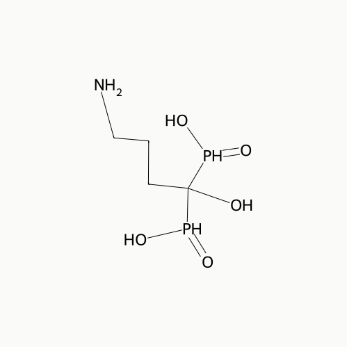 NCCCC(O)([PH](=O)O)[PH](=O)O